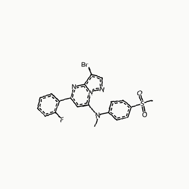 CN(c1ccc(S(C)(=O)=O)cc1)c1cc(-c2ccccc2F)nc2c(Br)cnn12